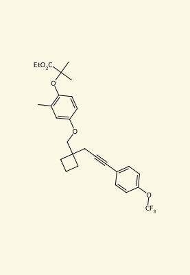 CCOC(=O)C(C)(C)Oc1ccc(OCC2(CC#Cc3ccc(OC(F)(F)F)cc3)CCC2)cc1C